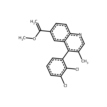 C=C(OC)c1ccc2ncc(C)c(-c3cccc(Cl)c3Cl)c2c1